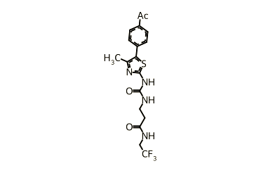 CC(=O)c1ccc(-c2sc(NC(=O)NCCC(=O)NCC(F)(F)F)nc2C)cc1